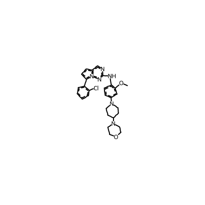 COc1cc(N2CCC(N3CCOCC3)CC2)ccc1Nc1ncc2ccc(-c3ccccc3Cl)n2n1